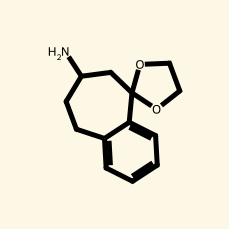 NC1CCc2ccccc2C2(C1)OCCO2